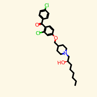 CCCCCC[C@@H](O)CN1CCC(COc2ccc(C(=O)c3ccc(Cl)cc3)c(Cl)c2)CC1